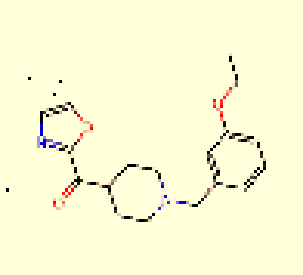 CCOc1cccc(CN2CCC(C(=O)c3ncco3)CC2)c1